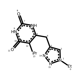 CCn1cc(Cc2[nH]c(=O)[nH]c(=O)c2C(C)C)nn1